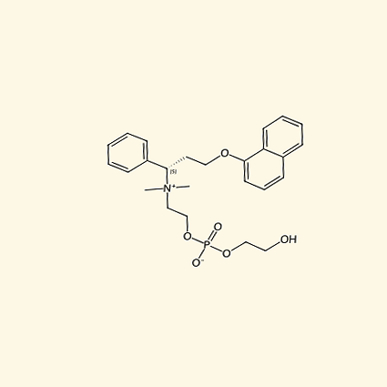 C[N+](C)(CCOP(=O)([O-])OCCO)[C@@H](CCOc1cccc2ccccc12)c1ccccc1